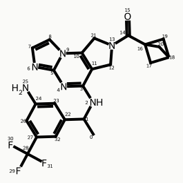 CC(Nc1nc2nccn2c2c1CN(C(=O)C13CC(C1)C3)C2)c1cc(N)cc(C(F)(F)F)c1